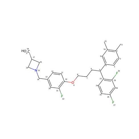 Cc1ccc(C(CCCOc2ccc(CN3CC(C(=O)O)C3)cc2F)c2ccc(F)cc2F)cc1C